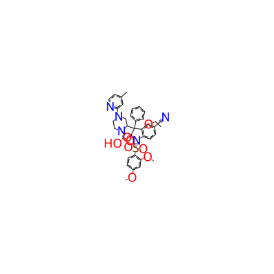 CCOc1ccccc1C1(C2CN(c3cc(C)ccn3)CCN2C(=O)O)C(=O)N(S(=O)(=O)c2ccc(OC)cc2OC)c2ccc(C#N)cc21